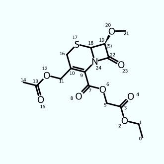 CCOC(=O)COC(=O)C1=C(COC(C)=O)CSC2[C@@H](OC)C(=O)N12